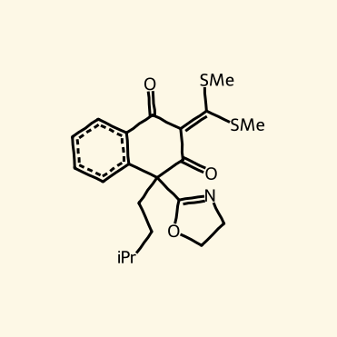 CSC(SC)=C1C(=O)c2ccccc2C(CCC(C)C)(C2=NCCO2)C1=O